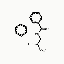 O=C(NCC(O)C(=O)O)c1ccccc1.c1ccccc1